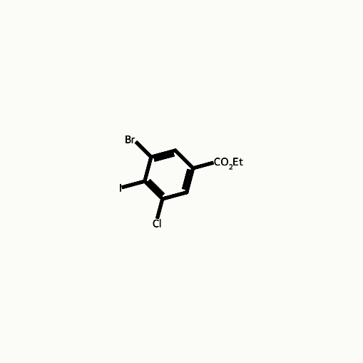 CCOC(=O)c1cc(Cl)c(I)c(Br)c1